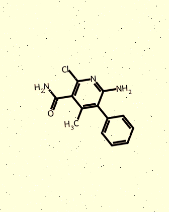 Cc1c(C(N)=O)c(Cl)nc(N)c1-c1ccccc1